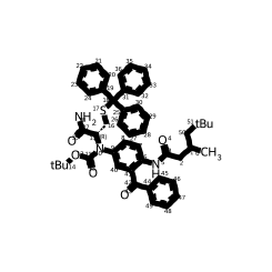 CC(CC(=O)Nc1ccc(N(C(=O)OC(C)(C)C)[C@@H](CSC(c2ccccc2)(c2ccccc2)c2ccccc2)C(N)=O)cc1C(=O)c1ccccc1)CC(C)(C)C